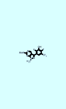 CNc1ncc2c(-c3cc(C(F)(F)F)c(F)c(O)c3F)nn(C)c2n1